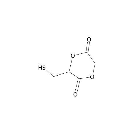 O=C1COC(=O)C(CS)O1